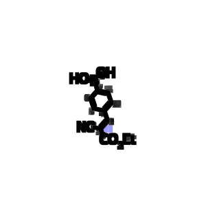 CCOC(=O)/C(C#N)=C/c1ccc(B(O)O)cc1